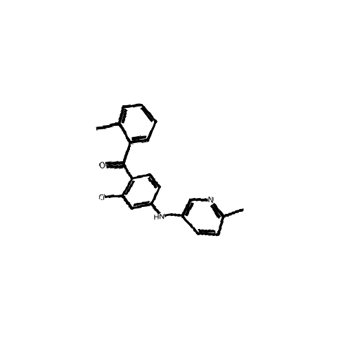 Cc1ccc(Nc2ccc(C(=O)c3ccccc3C)c(Cl)c2)cn1